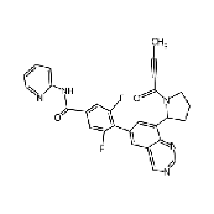 CC#CC(=O)N1CCCC1c1cc(-c2c(F)cc(C(=O)Nc3ccccn3)cc2F)cc2cncnc12